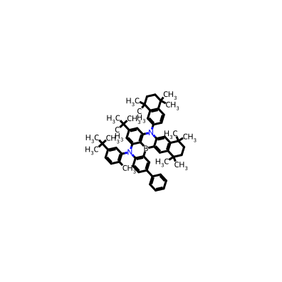 Cc1ccc(C(C)(C)C)cc1N1c2ccc(-c3ccccc3)cc2B2c3cc4c(cc3N(c3ccc5c(c3)C(C)(C)CCC5(C)C)c3cc(C(C)(C)C)cc1c32)C(C)(C)CCC4(C)C